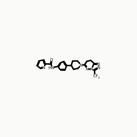 O=C(Nc1ccc(C2CCN(C3=Nn4c(nnc4C(F)(F)F)CC3)CC2)cc1)c1ccccn1